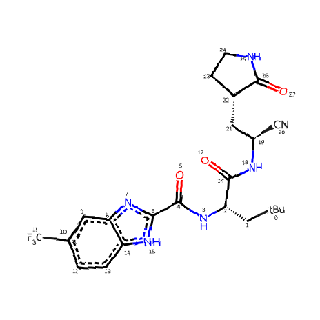 CC(C)(C)C[C@H](NC(=O)c1nc2cc(C(F)(F)F)ccc2[nH]1)C(=O)N[C@H](C#N)C[C@@H]1CCNC1=O